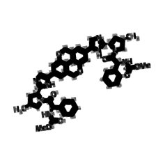 COC(=O)N[C@@H](C(=O)N1C[C@@H](C)C[C@H]1c1ncc(-c2cc3c4c(c2)OCc2cc(-c5cnc([C@@H]6C[C@H](C)CN6C(=O)[C@H](NC(=O)OC)c6ccccc6)[nH]5)cc(c2-4)OC3)[nH]1)c1ccccc1